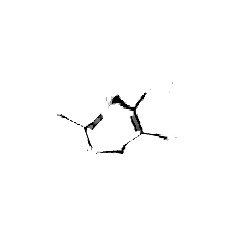 CCOC(=O)C1=C(Cl)CNC(Cl)=N1